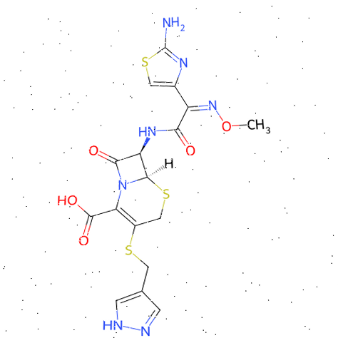 CO/N=C(\C(=O)N[C@@H]1C(=O)N2C(C(=O)O)=C(SCc3cn[nH]c3)CS[C@H]12)c1csc(N)n1